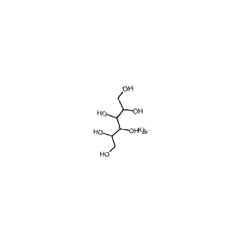 OCC(O)C(O)C(O)C(O)CO.[Br-].[K+]